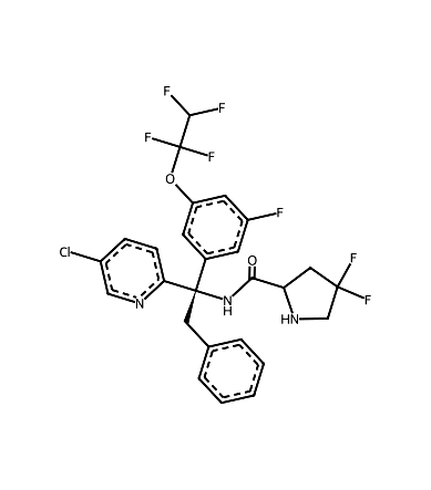 O=C(N[C@@](Cc1ccccc1)(c1cc(F)cc(OC(F)(F)C(F)F)c1)c1ccc(Cl)cn1)C1CC(F)(F)CN1